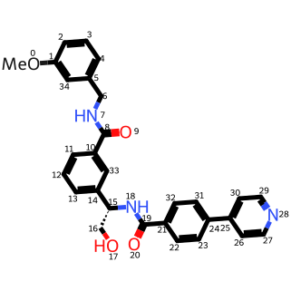 COc1cccc(CNC(=O)c2cccc([C@@H](CO)NC(=O)c3ccc(-c4ccncc4)cc3)c2)c1